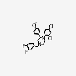 COc1ccc(C2CN(Cc3ccc(F)c(F)c3)CCN2c2ccc(Cl)cc2Cl)cc1